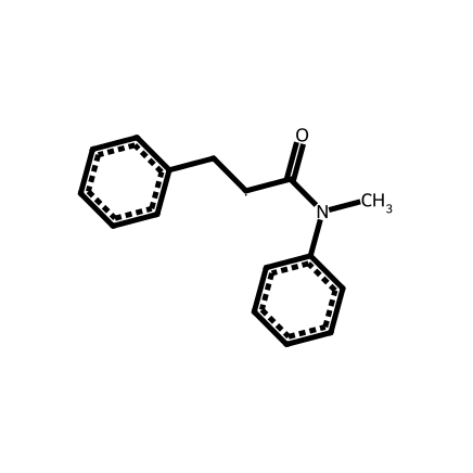 CN(C(=O)[CH]Cc1ccccc1)c1ccccc1